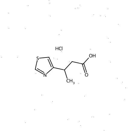 CC(CC(=O)O)c1cscn1.Cl